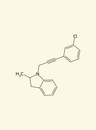 CC1Cc2ccccc2N1CC#Cc1cccc(Cl)c1